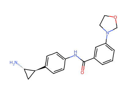 N[C@H]1C[C@@H]1c1ccc(NC(=O)c2cccc(N3CCOC3)c2)cc1